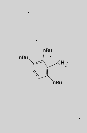 [CH2]c1c(CCCC)ccc(CCCC)c1CCCC